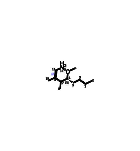 CCCC[C@@H](OC)C(C)/C(C)=C\N